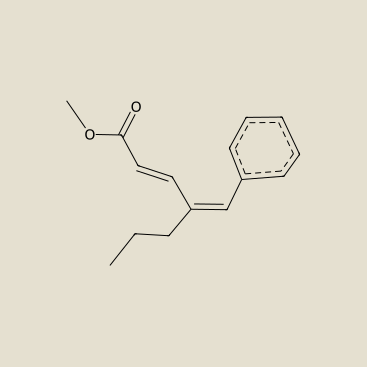 CCCC(C=CC(=O)OC)=Cc1ccccc1